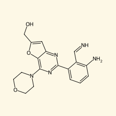 N=Cc1c(N)cccc1-c1nc(N2CCOCC2)c2oc(CO)cc2n1